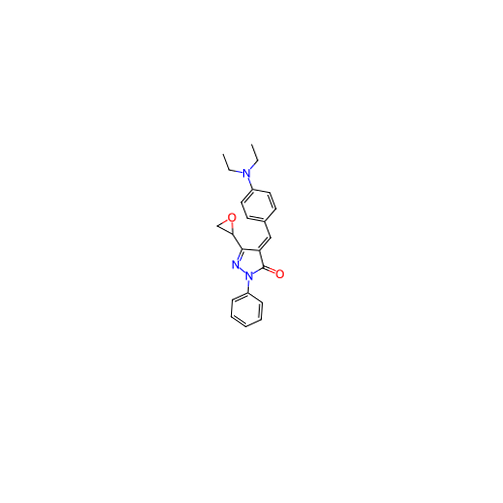 CCN(CC)c1ccc(/C=C2/C(=O)N(c3ccccc3)N=C2C2CO2)cc1